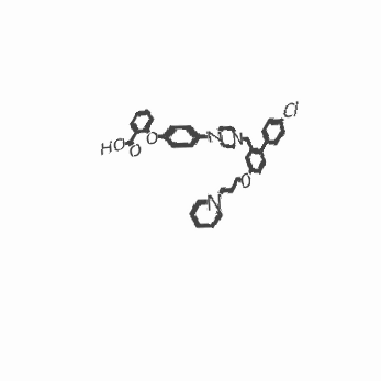 O=C(O)c1ccccc1Oc1ccc(N2CCN(Cc3cc(OCCCN4CCCCC4)ccc3-c3ccc(Cl)cc3)CC2)cc1